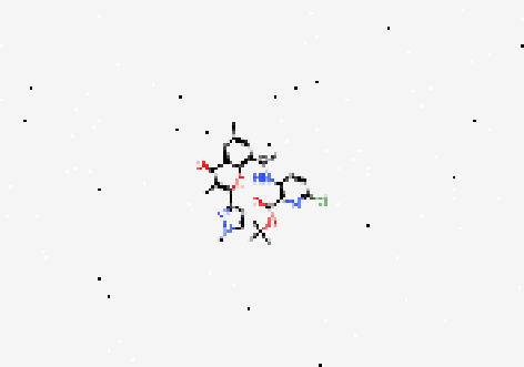 Cc1cc([C@@H](C)Nc2ccc(Cl)nc2C(=O)OC(C)(C)C)c2oc(-c3ccn(C)n3)c(C)c(=O)c2c1